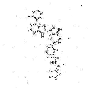 Fc1ccccc1-c1cncc2[nH]c(-c3c[nH]c4ncc(-c5cncc(CNCC6CCCC6)c5)cc34)nc12